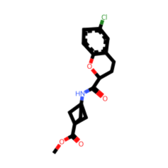 COC(=O)C12CC(NC(=O)C3CCc4cc(Cl)ccc4O3)(C1)C2